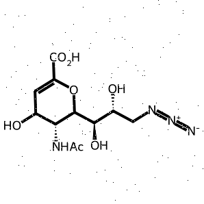 CC(=O)N[C@@H]1C(O)C=C(C(=O)O)OC1[C@H](O)[C@H](O)CN=[N+]=[N-]